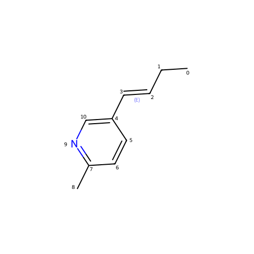 CC/C=C/c1ccc(C)nc1